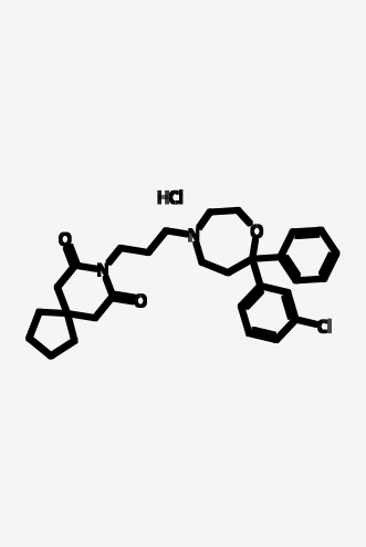 Cl.O=C1CC2(CCCC2)CC(=O)N1CCCN1CCOC(c2ccccc2)(c2cccc(Cl)c2)CC1